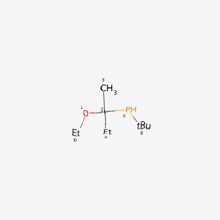 CCOC(C)(CC)PC(C)(C)C